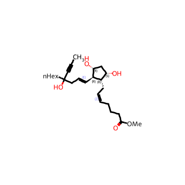 CC#CC(O)(C/C=C/[C@@H]1[C@@H](C/C=C\CCCC(=O)OC)[C@@H](O)C[C@H]1O)CCCCCC